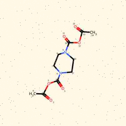 CC(=O)OC(=O)N1CCN(C(=O)OC(C)=O)CC1